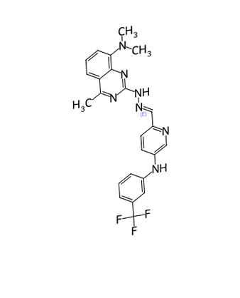 Cc1nc(N/N=C/c2ccc(Nc3cccc(C(F)(F)F)c3)cn2)nc2c(N(C)C)cccc12